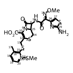 CON=C(C(=O)NC1C(=O)N2C(C(=O)O)=C(CSc3c(C)ccc[n+]3SC)SCC12)c1csc(N)n1